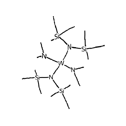 C[N](C)[W]([N](C)C)([N]([Si](C)(C)C)[Si](C)(C)C)[N]([Si](C)(C)C)[Si](C)(C)C